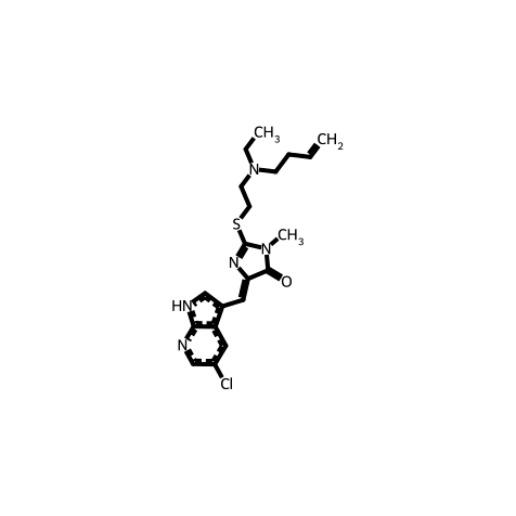 C=CCCN(CC)CCSC1=N/C(=C\c2c[nH]c3ncc(Cl)cc23)C(=O)N1C